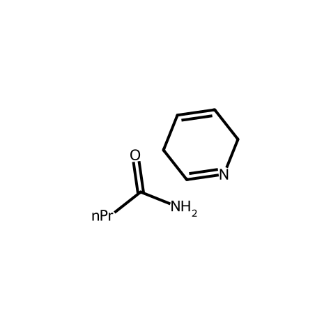 C1=CCN=CC1.CCCC(N)=O